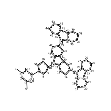 Cc1cc(C)nc(-c2ccc(-n3c4ccc(-n5c6ccccc6c6ccccc65)cc4c4cc(-n5c6ccccc6c6ccccc65)ccc43)cc2)n1